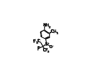 Cc1cc([S+]([O-])C(F)(C(F)(F)F)C(F)(F)F)ccc1N